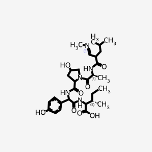 CC[C@H](C)C(NC(=O)C(NC(=O)C1CC(O)CN1C(=O)[C@H](C)NC(=O)C(/C=N/C)CC(C)C)c1ccc(O)cc1)C(=O)O